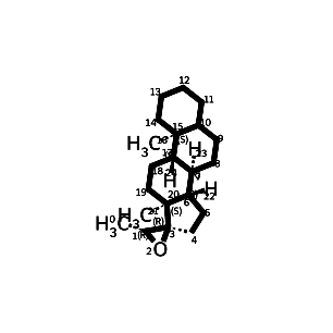 C[C@H]1O[C@@]12CC[C@H]1[C@@H]3CCC4CCCC[C@]4(C)[C@H]3CC[C@@]12C